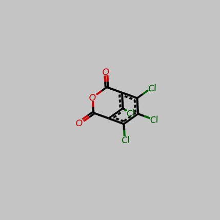 O=C1OC(=O)c2c(Cl)c(Cl)c(Cl)c1c2Cl